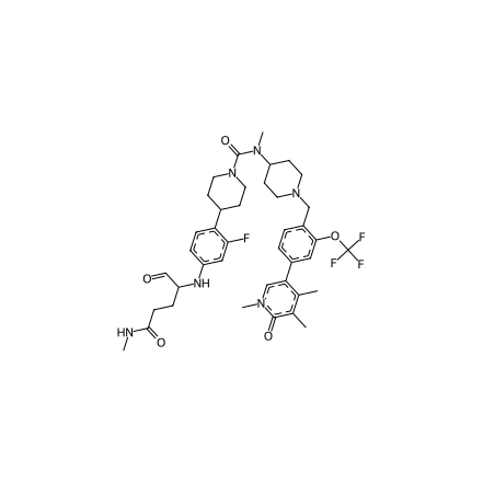 CNC(=O)CCC(C=O)Nc1ccc(C2CCN(C(=O)N(C)C3CCN(Cc4ccc(-c5cn(C)c(=O)c(C)c5C)cc4OC(F)(F)F)CC3)CC2)c(F)c1